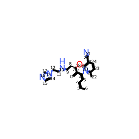 C=C(/C=C\C=C/C)[C@@H](CCNCCn1ccnc1)Oc1nc(C)ccc1C#N